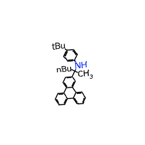 CCCCC(C)(Nc1ccc(C(C)(C)C)cc1)c1ccc2c3ccccc3c3ccccc3c2c1